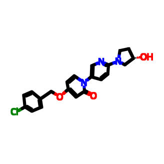 O=c1cc(OCc2ccc(Cl)cc2)ccn1-c1ccc(N2CC[C@H](O)C2)nc1